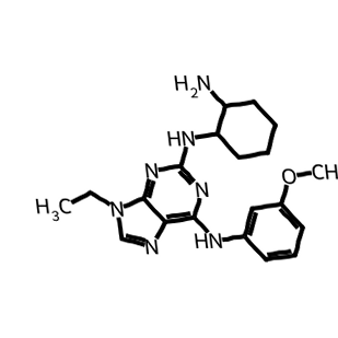 CCn1cnc2c(Nc3cccc(OC)c3)nc(NC3CCCCC3N)nc21